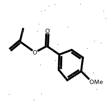 C=C(C)OC(=O)c1ccc(OC)cc1